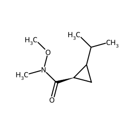 CON(C)C(=O)[C@@H]1CC1C(C)C